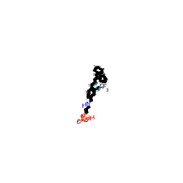 O=[PH](O)OCCCNCc1ccc(CCCCCC2(c3ccccc3)CCCCC2)c(C(F)(F)C(F)(F)F)c1